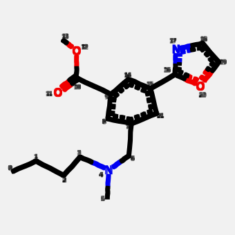 CCCCN(C)Cc1cc(C(=O)OC)cc(-c2ncco2)c1